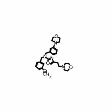 COc1cccc(CN(Cc2cccc(N3CCOCC3)c2)c2nc(CCN3CCOCC3)co2)c1